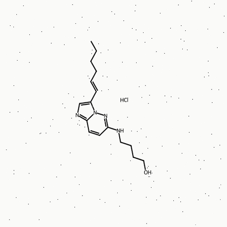 CCCC/C=C/c1cnc2ccc(NCCCCO)nn12.Cl